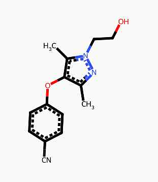 Cc1nn(CCO)c(C)c1Oc1ccc(C#N)cc1